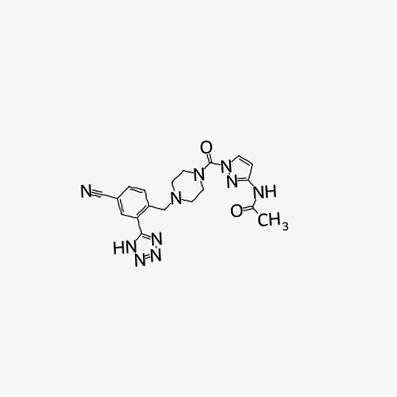 CC(=O)Nc1ccn(C(=O)N2CCN(Cc3ccc(C#N)cc3-c3nnn[nH]3)CC2)n1